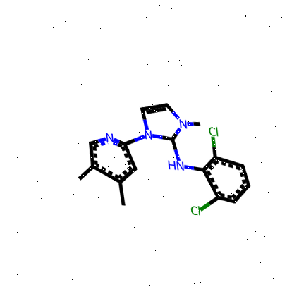 Cc1cnc(N2C=CN(C)C2Nc2c(Cl)cccc2Cl)cc1C